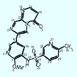 COc1ncc(-c2cn3c(=O)ccnc3cn2)cc1NS(=O)(=O)c1ccc(C)nc1